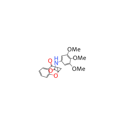 COc1cc(NC(=O)C23CC2C(=O)c2ccccc2O3)cc(OC)c1OC